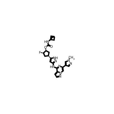 Cn1cc(-c2cn3nccc3c(Nc3cc([C@H]4C[C@@H](F)[C@@H](OC(=O)NC56CC(C5)C6)C4)[nH]n3)n2)cn1